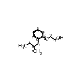 CC[C@H](C)Cc1ccccc1OCCO